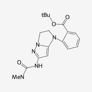 CNC(=O)Nc1cc2n(n1)CCN2c1ccccc1C(=O)OC(C)(C)C